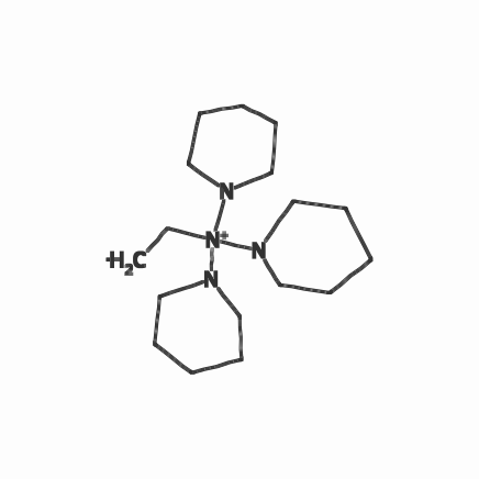 [CH2]C[N+](N1CCCCC1)(N1CCCCC1)N1CCCCC1